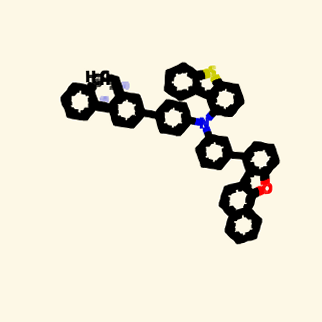 C=c1cccc/c1=c1\ccc(-c2ccc(N(c3cccc(-c4cccc5oc6c7ccccc7ccc6c45)c3)c3cccc4sc5ccccc5c34)cc2)c\c1=C\C